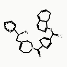 C=C(SC1=CC=CC2=CC=CCCC21)C1=CCC(C(=O)N2CCC=C(CC(N)c3ccccn3)CC2)C=C1